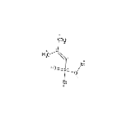 CCOP(=O)(C=C(C)C(=O)O)CC